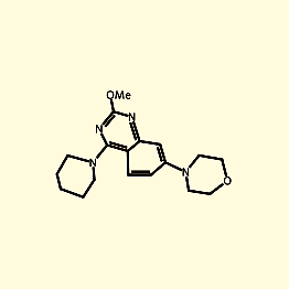 COc1nc(N2CCCCC2)c2ccc(N3CCOCC3)cc2n1